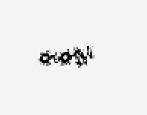 CNc1nccn2c(-c3ccc(OCc4ccccc4)cc3)cnc12